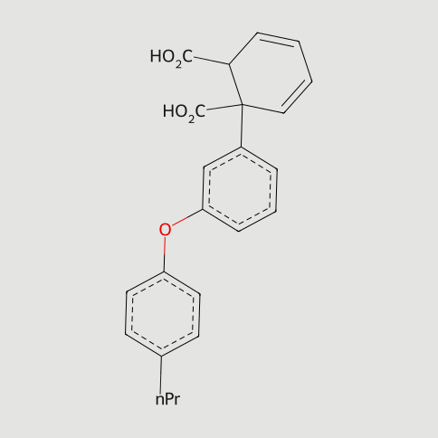 CCCc1ccc(Oc2cccc(C3(C(=O)O)C=CC=CC3C(=O)O)c2)cc1